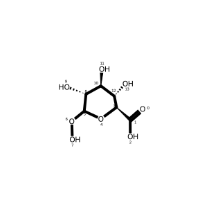 O=C(O)[C@H]1OC(OO)[C@H](O)[C@@H](O)[C@@H]1O